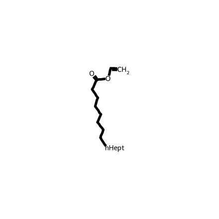 C=COC(=O)CCCCCCCCCCCCCC